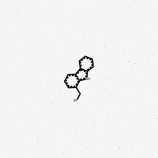 C[C](C)Cc1cccc2c1[nH]c1ccccc12